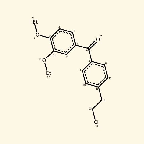 CCOc1ccc(C(=O)c2ccc(CCCl)cc2)cc1OCC